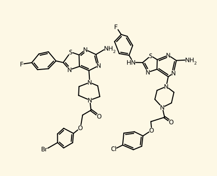 Nc1nc(N2CCN(C(=O)COc3ccc(Br)cc3)CC2)c2nc(-c3ccc(F)cc3)sc2n1.Nc1nc(N2CCN(C(=O)COc3ccc(Cl)cc3)CC2)c2nc(Nc3ccc(F)cc3)sc2n1